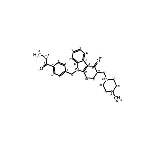 COC(=O)c1ccc(Cn2c3c(c4ccccc42)C(=O)C(CN2CCN(C)CC2)CC3)cc1